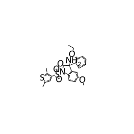 CCOc1ccccc1C1(N)C(=O)N(S(=O)(=O)c2cc(C)sc2C)c2ccc(OC)cc21